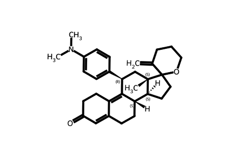 C=C1CCCOC12CC[C@H]1[C@@H]3CCC4=CC(=O)CCC4=C3[C@@H](c3ccc(N(C)C)cc3)C[C@@]12C